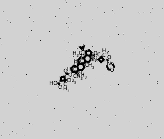 CC1([C@@H]2CC[C@]3(C(=O)N[C@H]4C[C@@H](C(=O)N5CCOCC5)C4(C)C)CC[C@]4(C)[C@H](CC[C@@H]5[C@@]6(C)CC[C@H](OC(=O)[C@H]7C[C@@H](C(=O)O)C7(C)C)C(C)(C)[C@@H]6CC[C@]54C)C23)CC1